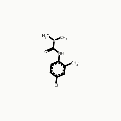 [CH2]c1cc(Cl)ccc1NC(=O)N(C)C